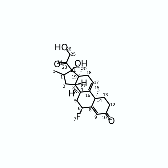 CC1C[C@H]2[C@@H]3C[C@H](F)C4=CC(=O)CC[C@]4(C)C3=CC[C@]2(C)[C@@]1(O)C(=O)CO